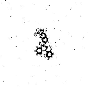 COC(=O)N1CCc2ccc3c(nc([C@H]4CCC[C@H](C(=O)O)C4)n3[C@@H](C)Cc3ccccc3C)c2C1